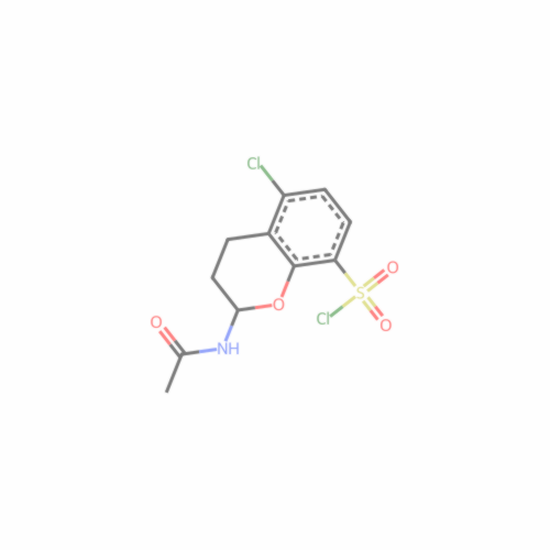 CC(=O)NC1CCc2c(Cl)ccc(S(=O)(=O)Cl)c2O1